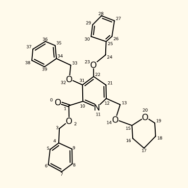 O=C(OCc1ccccc1)c1nc(COC2CCCCO2)cc(OCc2ccccc2)c1OCc1ccccc1